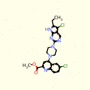 CCc1[nH]c2nc(N3CCN(c4cc(C(=O)OC)nc5ccc(Cl)cc45)CC3)ncc2c1Cl